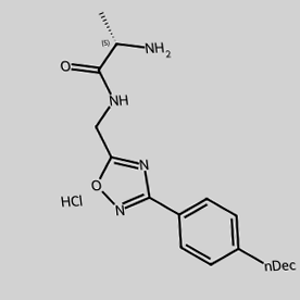 CCCCCCCCCCc1ccc(-c2noc(CNC(=O)[C@H](C)N)n2)cc1.Cl